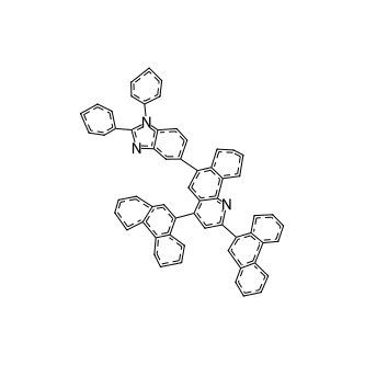 c1ccc(-c2nc3cc(-c4cc5c(-c6cc7ccccc7c7ccccc67)cc(-c6cc7ccccc7c7ccccc67)nc5c5ccccc45)ccc3n2-c2ccccc2)cc1